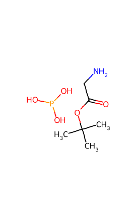 CC(C)(C)OC(=O)CN.OP(O)O